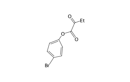 CCC(=O)C(=O)Oc1ccc(Br)cc1